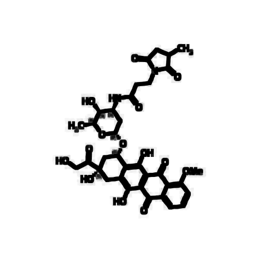 COc1cccc2c1C(=O)c1c(O)c3c(c(O)c1C2=O)C[C@@](O)(C(=O)CO)C[C@@H]3O[C@H]1C[C@H](NC(=O)CCN2C(=O)CC(C)C2=O)[C@H](O)[C@H](C)O1